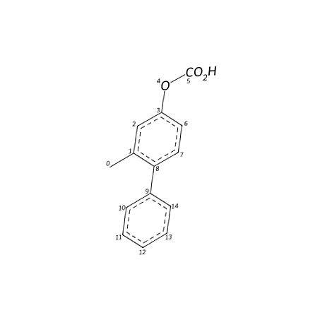 Cc1cc(OC(=O)O)ccc1-c1ccccc1